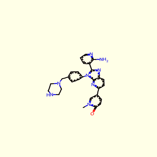 Cn1cc(-c2ccc3nc(-c4cccnc4N)n(-c4ccc(CN5CCNCC5)cc4)c3n2)ccc1=O